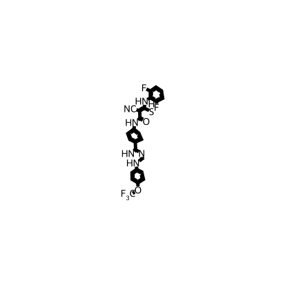 N#C/C(C(=O)Nc1ccc(C(=N)/N=C\Nc2ccc(OC(F)(F)F)cc2)cc1)=C(/S)Nc1c(F)cccc1F